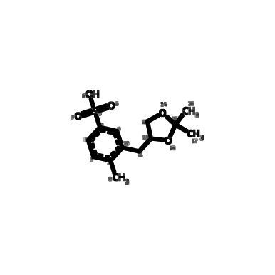 Cc1ccc(S(=O)(=O)O)cc1CC1COC(C)(C)O1